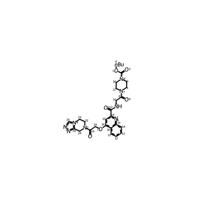 CCCCOC(=O)N1CCN(C(=O)CNC(=O)c2cc(OCC(=O)N3CCn4cnnc4C3)c3ccccc3n2)CC1